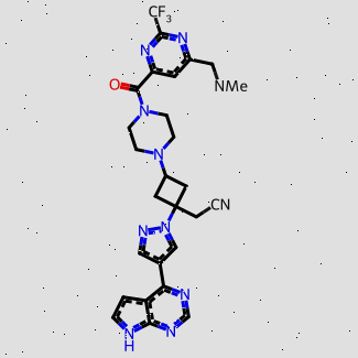 CNCc1cc(C(=O)N2CCN(C3CC(CC#N)(n4cc(-c5ncnc6[nH]ccc56)cn4)C3)CC2)nc(C(F)(F)F)n1